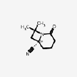 CC1(C)C[C@]2(C#N)CCCC(=O)N12